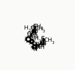 CC(C)n1cc(-c2nc3c(-c4ccc5c(c4)CCCC[C@H]5NC(=O)c4cc(C(C)(C)C)on4)ccnc3[nH]2)cn1